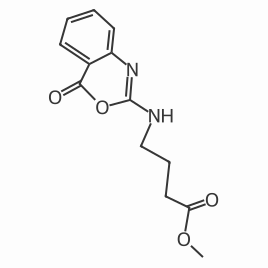 COC(=O)CCCNc1nc2ccccc2c(=O)o1